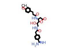 COc1ccc(CCC(=O)N[C@H]2CC(=O)OC2[C@@H](O)CNC(=O)Cc2ccc(C(=N)N)cc2)cc1